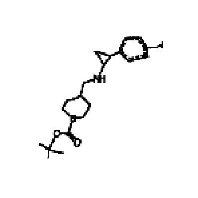 CC(C)(C)OC(=O)N1CCC(CNC2CC2c2ccc(I)cc2)CC1